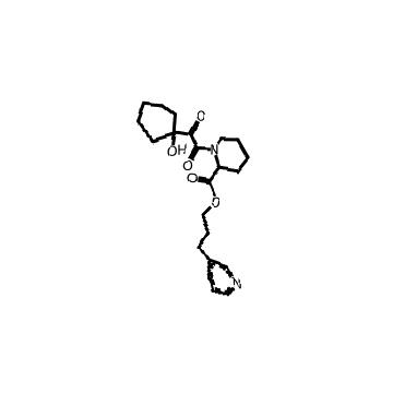 O=C(OCCCc1cccnc1)C1CCCCN1C(=O)C(=O)C1(O)CCCCC1